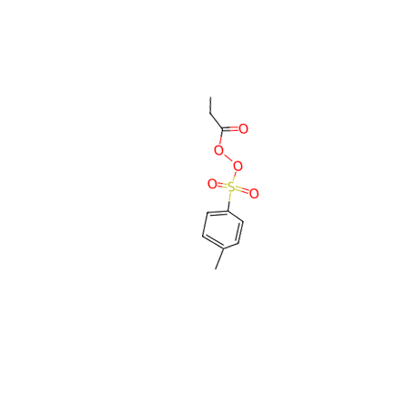 CCC(=O)OOS(=O)(=O)c1ccc(C)cc1